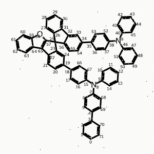 c1ccc(-c2ccc(N(c3ccccc3)c3ccc(-c4ccc5c(c4)C4(c6ccccc6-c6cc(-c7ccc(N(c8ccccc8)c8ccccc8)cc7)ccc64)c4oc6ccccc6c4-5)cc3)cc2)cc1